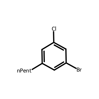 CCCCCc1cc(Cl)cc(Br)c1